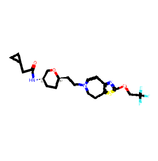 O=C(CC1CC1)N[C@H]1CC[C@H](CCN2CCc3nc(OCC(F)(F)F)sc3CC2)OC1